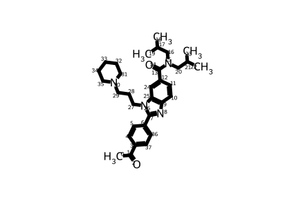 CC(=O)c1ccc(-c2nc3ccc(C(=O)N(CC(C)C)CC(C)C)cc3n2CCCN2CCCCC2)cc1